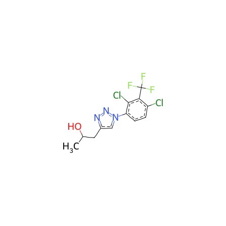 CC(O)Cc1cn(-c2ccc(Cl)c(C(F)(F)F)c2Cl)nn1